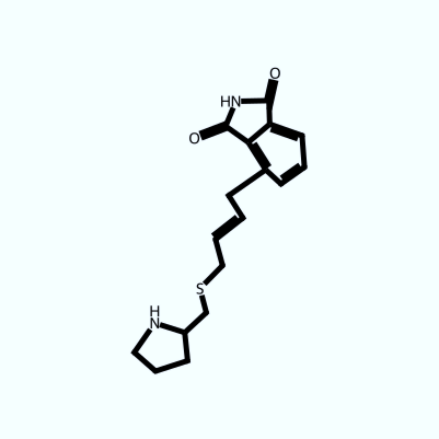 O=C1NC(=O)c2c(CC=CCSCC3CCCN3)cccc21